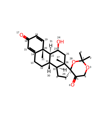 CC1(C)OCC(=O)[C@]2(CC[C@H]3[C@@H]4CCC5=CC(=O)C=C[C@]5(C)[C@H]4[C@@H](O)C[C@@]32C)O1